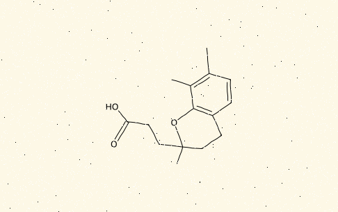 Cc1ccc2c(c1C)OC(C)(CCC(=O)O)CC2